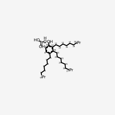 CC(C)CCCCCCc1ccc(O)c(CCCCCCC(C)C)c1CCCCCCC(C)C.OP(O)O